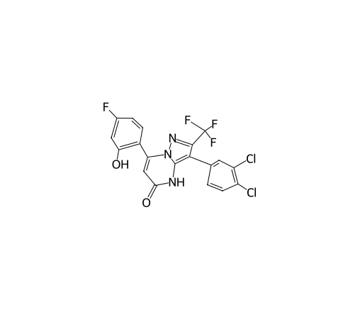 O=c1cc(-c2ccc(F)cc2O)n2nc(C(F)(F)F)c(-c3ccc(Cl)c(Cl)c3)c2[nH]1